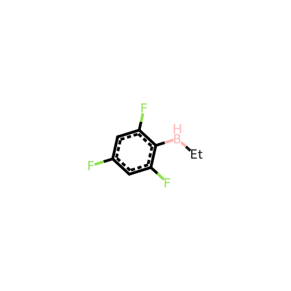 CCBc1c(F)cc(F)cc1F